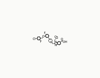 O=C(O)c1ccc2nc(CN3CC=C(c4ccc(F)c(OCc5ccc(Cl)cc5F)c4)CC3)n(C[C@@H]3CCO3)c2c1